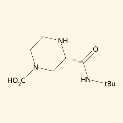 CC(C)(C)NC(=O)[C@@H]1CN(C(=O)O)CCN1